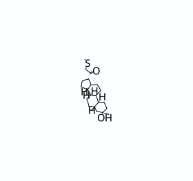 CSCC(=O)[C@H]1CC[C@H]2[C@@H]3CC[C@H]4C[C@@](C)(O)CC[C@@H]4[C@H]3CC[C@]12C